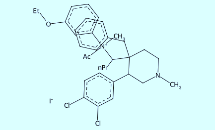 CCCC(C1(Cc2ccccc2)CCN(C)CC1c1ccc(Cl)c(Cl)c1)[N+](C)(C(C)=O)c1cccc(OCC)c1.[I-]